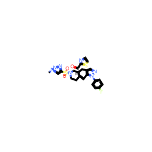 Cn1cc(S(=O)(=O)N2CCC3=Cc4c(cnn4-c4ccc(F)cc4)C[C@]3(C(=O)c3nccs3)C2)nn1